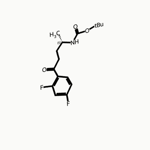 C[C@@H](CCC(=O)c1ccc(F)cc1F)NC(=O)OC(C)(C)C